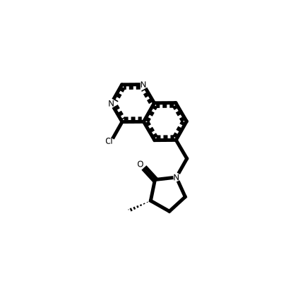 [CH2][C@H]1CCN(Cc2ccc3ncnc(Cl)c3c2)C1=O